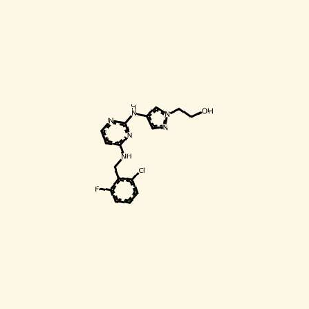 OCCn1cc(Nc2nccc(NCc3c(F)cccc3Cl)n2)cn1